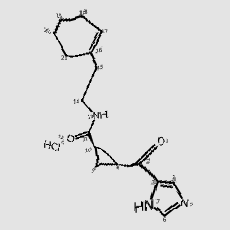 Cl.O=C(c1cnc[nH]1)[C@H]1C[C@H]1C(=O)NCCC1=CCCCC1